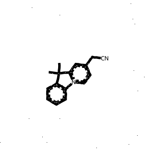 CC1(C)c2ccccc2-[n+]2ccc(CC#N)cc21